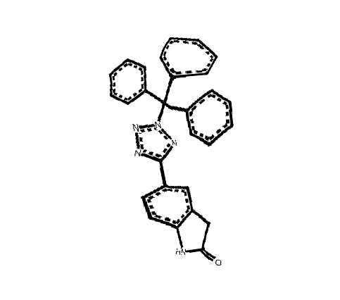 O=C1Cc2cc(-c3nnn(C(c4ccccc4)(c4ccccc4)c4ccccc4)n3)ccc2N1